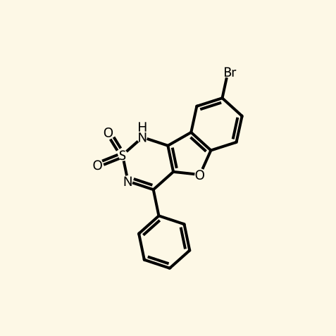 O=S1(=O)N=C(c2ccccc2)c2oc3ccc(Br)cc3c2N1